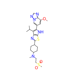 COc1cc(-c2[nH]c3sc(C4CCC(N(C)CCS(C)(=O)=O)CC4)nc3c2C(C)C)cn2ncnc12